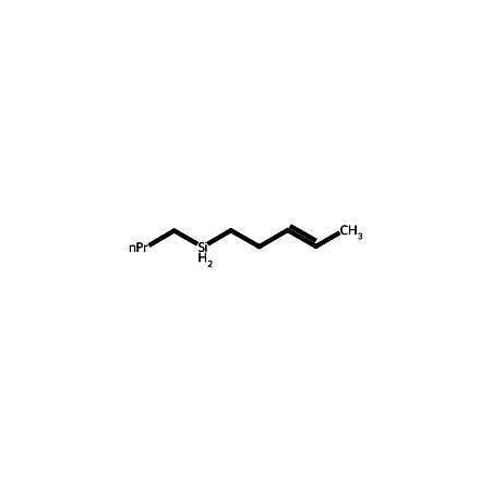 CC=CCC[SiH2]CCCC